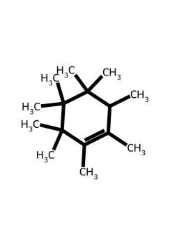 CC1=C(C)C(C)(C)C(C)(C)C(C)(C)C1C